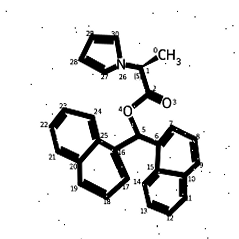 C[C@@H](C(=O)OC(c1cccc2ccccc12)c1cccc2ccccc12)n1cccc1